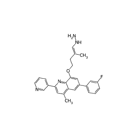 C/C(=C\NN)CCOc1cc(-c2cccc(F)c2)cc2c(C)cc(-c3cccnc3)nc12